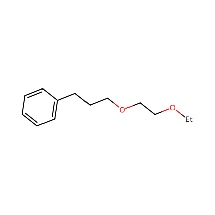 [CH2]COCCOCCCc1ccccc1